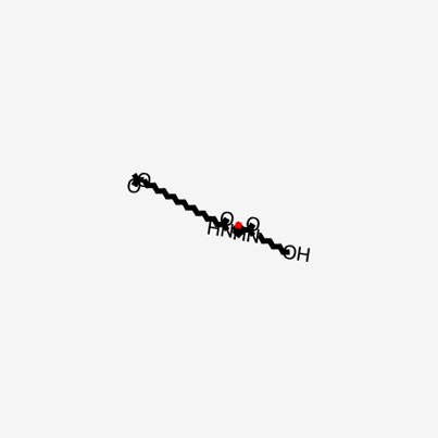 CC(=O)OCCCCCCCCCCCCCCCC(=O)NC12CC(C(=O)NCCCCCCO)(C1)C2